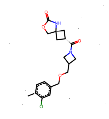 Cc1ccc(COCC2CN(C(=O)[C@H]3C[C@]4(COC(=O)N4)C3)C2)cc1Cl